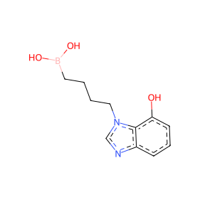 OB(O)CCCCn1cnc2cccc(O)c21